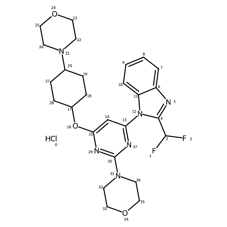 Cl.FC(F)c1nc2ccccc2n1-c1cc(OC2CCC(N3CCOCC3)CC2)nc(N2CCOCC2)n1